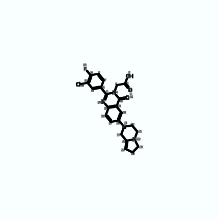 O=C(O)Cn1c(-c2ccc(F)c(Cl)c2)nc2ccc(N3CCN4CCC=C4C3)cc2c1=O